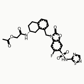 CC(=O)OCC(=O)N[C@@H]1CCc2cccc(Cn3c(=O)oc4cc(S(=O)(=O)Nc5ncns5)c(F)cc43)c2C1